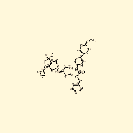 COc1ncc(-c2ccc(N(C(=O)OCc3ccccn3)[C@H]3CC[C@H](Nc4ncc(C(F)(F)F)c(OC5COC5)n4)CC3)nc2)cn1